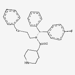 O=C(C1CCNCC1)N(CCOc1ccccc1)[C@H](c1ccccc1)c1ccc(F)cc1